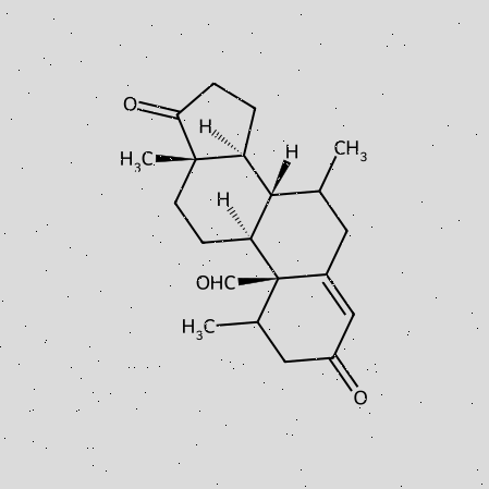 CC1CC2=CC(=O)CC(C)[C@]2(C=O)[C@H]2CC[C@]3(C)C(=O)CC[C@H]3[C@H]12